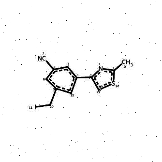 Cc1nc(-c2cc(C#N)cc(CI)c2)cs1